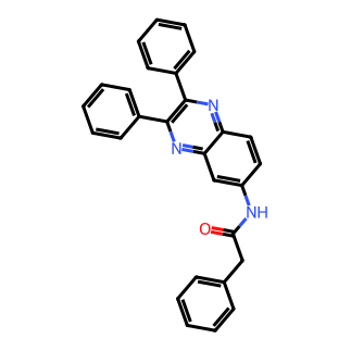 O=C(Cc1ccccc1)Nc1ccc2nc(-c3ccccc3)c(-c3ccccc3)nc2c1